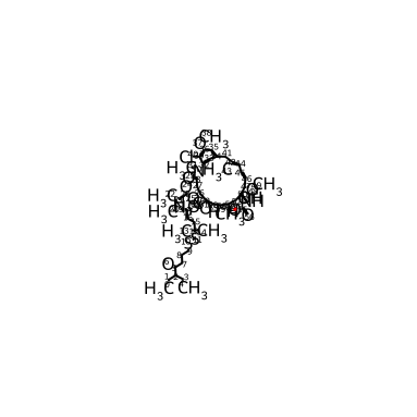 CCC(CC)C(=O)CCCSSC(C)(C)CCC(=O)N(C)[C@@H](C)C(=O)O[C@H]1CC(=O)N(C)c2cc(cc(OC)c2Cl)C/C(C)=C/C=C/[C@@H](OC)[C@@]2(O)C[C@H](OC(=O)N2)[C@@H](C)[C@@H]2O[C@@]12C